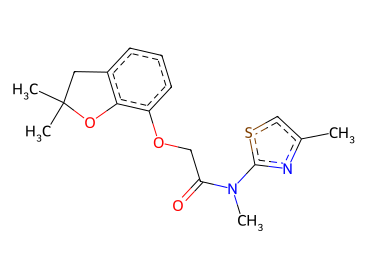 Cc1csc(N(C)C(=O)COc2cccc3c2OC(C)(C)C3)n1